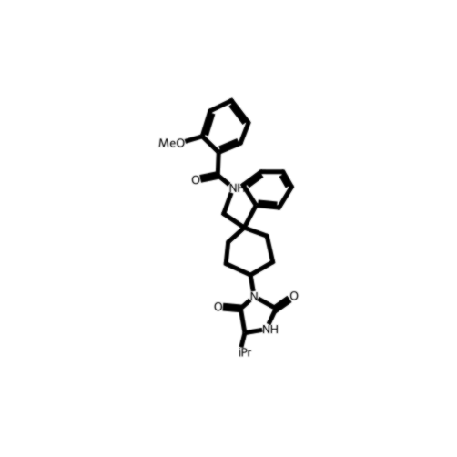 COc1ccccc1C(=O)NCC1(c2ccccc2)CCC(N2C(=O)NC(C(C)C)C2=O)CC1